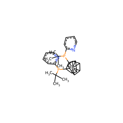 CC(C)(C)P(c1ccccn1)[C]12[CH]3[CH]4[CH]5[C]1(P(c1ccccn1)C(C)(C)C)[Fe]43521678[CH]2[CH]1[CH]6[CH]7[CH]28